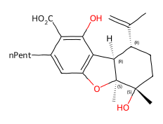 C=C(C)[C@@H]1CC[C@](C)(O)[C@@]2(C)Oc3cc(CCCCC)c(C(=O)O)c(O)c3[C@@H]12